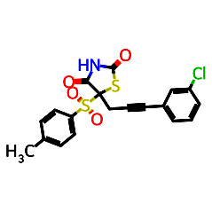 Cc1ccc(S(=O)(=O)C2(CC#Cc3cccc(Cl)c3)SC(=O)NC2=O)cc1